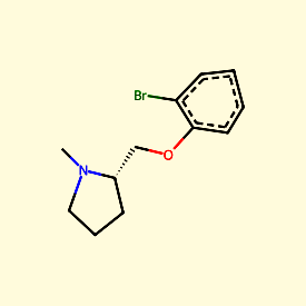 CN1CCC[C@H]1COc1ccccc1Br